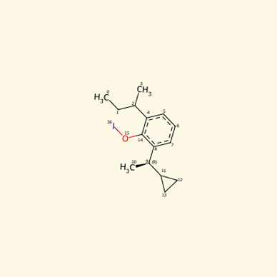 CCC(C)c1cccc([C@H](C)C2CC2)c1OI